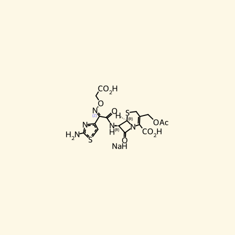 CC(=O)OCC1=C(C(=O)O)N2C(=O)[C@@H](NC(=O)/C(=N\OCC(=O)O)c3csc(N)n3)[C@H]2SC1.[NaH]